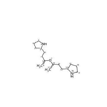 C=C(CCC1CCCN1)OC(=C)CCC1CCCN1